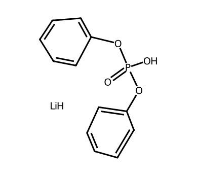 O=P(O)(Oc1ccccc1)Oc1ccccc1.[LiH]